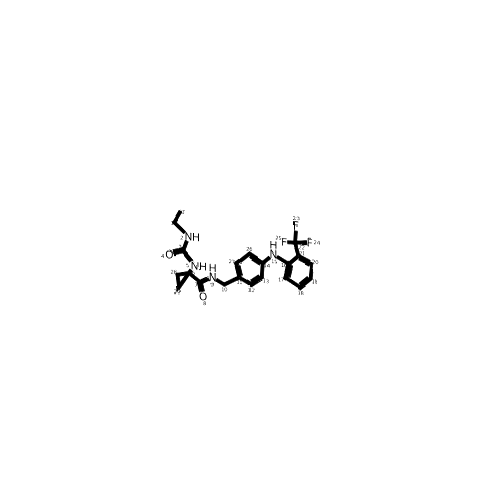 CCNC(=O)NC1(C(=O)NCc2ccc(Nc3ccccc3C(F)(F)F)cc2)CC1